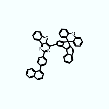 c1ccc2c(c1)Oc1ccccc1C21c2ccc(-c3nc(-c4ccc(-c5cccc6ccccc56)cc4)nc4c3sc3ccccc34)cc2-c2c1ccc1ccccc21